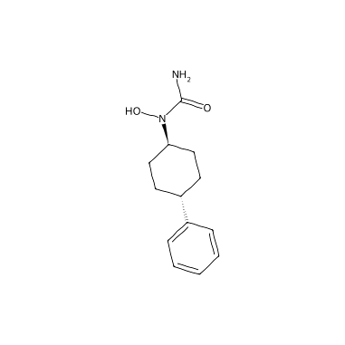 NC(=O)N(O)[C@H]1CC[C@H](c2ccccc2)CC1